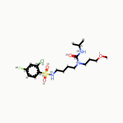 COC[CH]CN(CCCCNS(=O)(=O)c1ccc(F)cc1Cl)C(=O)NC(C)C